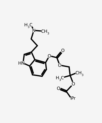 CC(C)C(=O)OC(C)(C)COC(=O)Oc1cccc2[nH]cc(CCN(C)C)c12